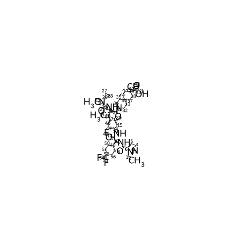 CCn1nccc1C(=O)N[C@H](C(=O)Nc1ccc([C@H](C)[C@@H](NC(=O)N(C)C2CC2)C(=O)N2CCC3(CC2)CCC(C)(C(=O)O)CC3)cc1F)C1CCC(=C(F)F)CC1